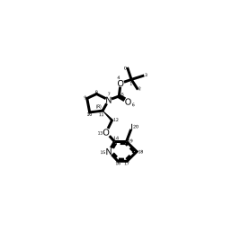 CC(C)(C)OC(=O)N1CCC[C@@H]1COc1ncccc1I